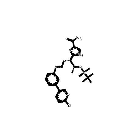 C[C@H](O[Si](C)(C)C(C)(C)C)[C@H](CCOc1cccc(-c2ccc(Cl)nc2)c1)c1nc(C(N)=O)c[nH]1